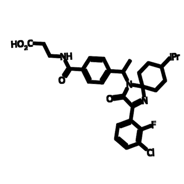 CC(C)C1CCC2(CC1)N=C(c1cccc(Cl)c1F)C(=O)N2C(C)c1ccc(C(=O)NCCC(=O)O)cc1